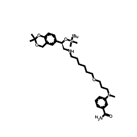 CN(CCCOCCCCCCNC[C@H](O[Si](C)(C)C(C)(C)C)c1ccc2c(c1)COC(C)(C)O2)c1cccc(C(N)=O)c1